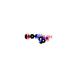 CC1(C)OB(c2ccc(-c3c[nH]c([C@H]4CC(=O)C5c6c(ccn6C4)CC[C@@H]5NC(=O)O)n3)cc2)OC1(C)C